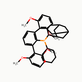 COc1cccc(OC)c1-c1cccc(-c2c(OC)cccc2OC)c1P(C1CCCCC1)C1C2CC3CC(C2)CC1C3